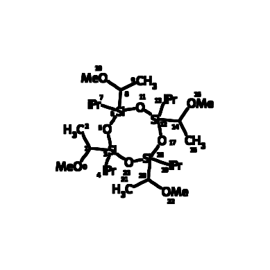 COC(C)[Si]1(C(C)C)O[Si](C(C)C)(C(C)OC)O[Si](C(C)C)(C(C)OC)O[Si](C(C)C)(C(C)OC)O1